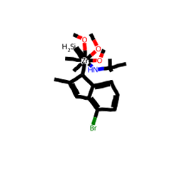 C[O][Zr]([CH3])([CH3])(=[SiH2])([NH]C(C)(C)C)([O]C)([O]C)[CH]1C(C)=Cc2c(Br)cccc21